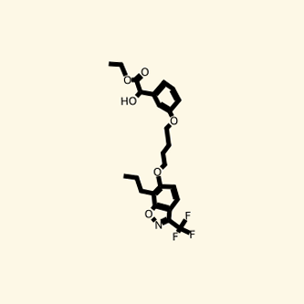 CCCc1c(OCCCCOc2cccc(C(O)C(=O)OCC)c2)ccc2c(C(F)(F)F)noc12